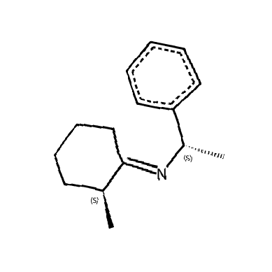 C[C@H](N=C1CCCC[C@@H]1C)c1ccccc1